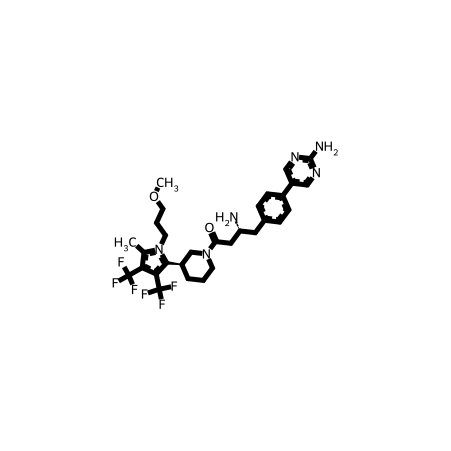 COCCCn1c(C)c(C(F)(F)F)c(C(F)(F)F)c1[C@@H]1CCCN(C(=O)C[C@H](N)Cc2ccc(-c3cnc(N)nc3)cc2)C1